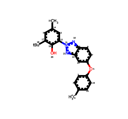 Cc1ccc(Oc2ccc3nn(-c4cc(C)cc(C(C)(C)C)c4O)nc3c2)cc1